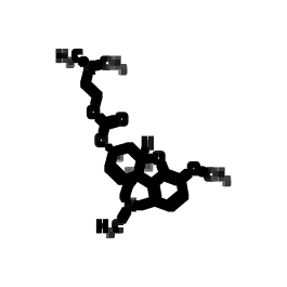 COc1ccc2c3c1O[C@H]1C[C@@H](OC(=O)OCCN(C)C)C=C[C@@]31CCN(C)C2